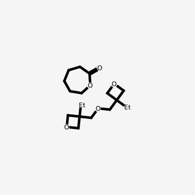 CCC1(COCC2(CC)COC2)COC1.O=C1CCCCCO1